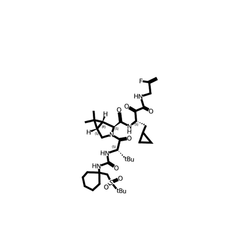 C=C(F)CNC(=O)C(=O)[C@H](CC1CC1)NC(=O)[C@@H]1[C@@H]2[C@H](CN1C(=O)[C@@H](NC(=O)NC1(CS(=O)(=O)C(C)(C)C)CCCCC1)C(C)(C)C)C2(C)C